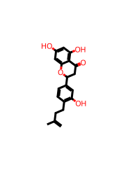 C=C(C)CCc1ccc(C2CC(=O)c3c(O)cc(O)cc3O2)cc1O